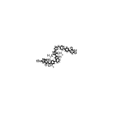 Cc1cc(-c2ncnc3[nH]c(-c4c(C)nn(C5CCN(CC6CCN(c7ccc(N8CCC(=O)NC8=O)cc7)CC6)C5)c4C)cc23)ccc1[C@@H](C)NC(=O)c1nc(C(C)(C)C)no1